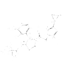 CC(=O)OC(C)(C)CO[C@@H]1CCN(C(=O)Cn2nc(C3CC3)cc2C(F)(F)F)[C@@H]1c1cccc(C)c1Cl